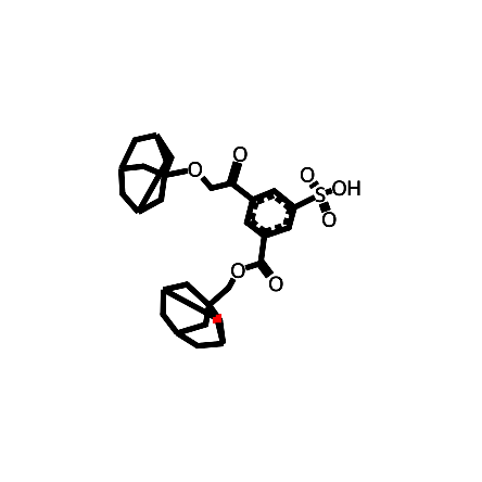 O=C(COC12CC3CC(CC(C3)C1)C2)c1cc(C(=O)OCC23CC4CC(CC(C4)C2)C3)cc(S(=O)(=O)O)c1